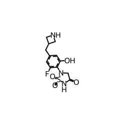 O=C1CN(c2c(O)cc(CC3CNC3)cc2F)S(=O)(=O)N1